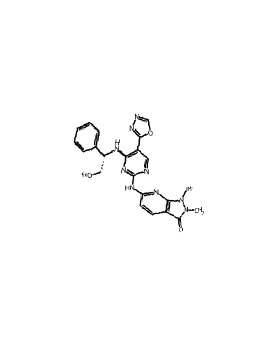 CC(C)n1c2nc(Nc3ncc(-c4nnco4)c(N[C@H](CO)c4ccccc4)n3)ccc2c(=O)n1C